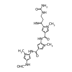 Cn1cc(NC=O)cc1NC(=O)c1cc(NC(=O)c2cc(C(=N)CCNC(N)=O)n(C)c2)n(C)c1